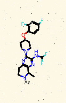 CC(=O)N1CCc2nc(N3CCC(Oc4ccc(F)cc4F)CC3)c(NC(F)F)nc2C1C